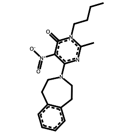 CCCCn1c(C)nc(N2CCc3ccccc3CC2)c([N+](=O)[O-])c1=O